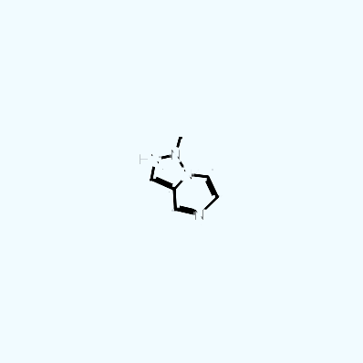 CN1NC=C2C=NC=CN21